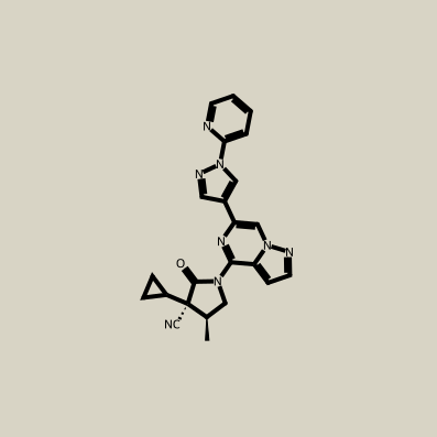 C[C@@H]1CN(c2nc(-c3cnn(-c4ccccn4)c3)cn3nccc23)C(=O)[C@]1(C#N)C1CC1